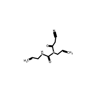 C=CCNC(=O)N(CC=C)C(=O)CC#N